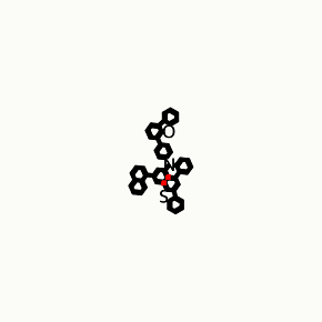 c1cc(-c2cccc3ccccc23)cc(N(c2ccc(-c3cccc4c3oc3ccccc34)cc2)c2ccccc2-c2ccc3sc4ccccc4c3c2)c1